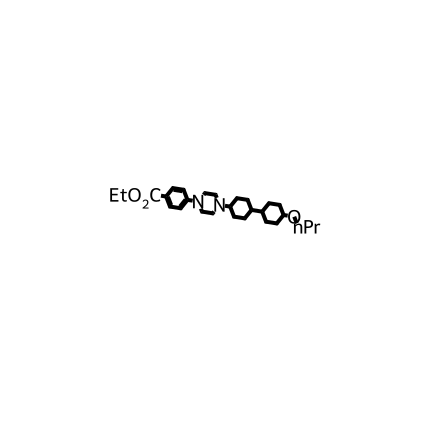 CCCOC1CCC(C2CCC(N3CCN(c4ccc(C(=O)OCC)cc4)CC3)CC2)CC1